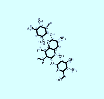 CN[C@@H]1[C@@H](O[C@H]2O[C@H](CO)[C@@H](N)[C@H](O)[C@H]2O)OC2C[C@@H](N)[C@@H](O[C@H]3[C@H](F)[C@@H](O)[C@H](N)C[C@@H]3N)OC2[C@@H]1O